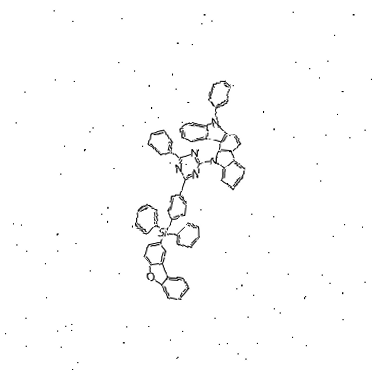 c1ccc(-c2nc(-c3ccc([Si](c4ccccc4)(c4ccccc4)c4ccc5oc6ccccc6c5c4)cc3)nc(-n3c4ccccc4c4ccc5c(c6ccccc6n5-c5ccccc5)c43)n2)cc1